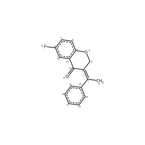 C/C(=C1\COc2ccc(F)cc2C1=O)c1ccccc1